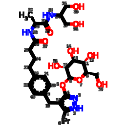 CC(C)c1[nH]nc(O[C@@H]2O[C@H](CO)[C@@H](O)[C@H](O)[C@H]2O)c1Cc1ccc(CCCC(=O)N[C@@H](C)C(=O)NC(CO)CO)cc1